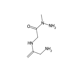 C=C(CN)NCC(=O)N(C)N